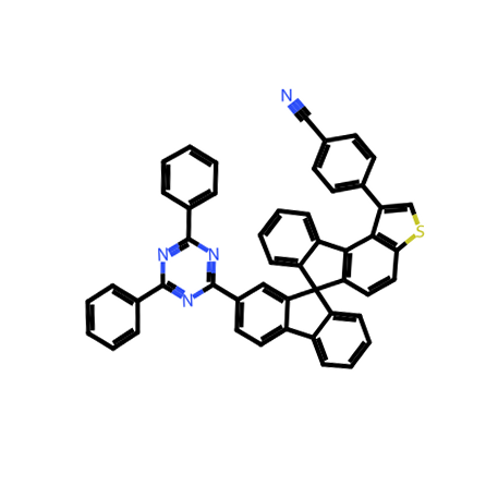 N#Cc1ccc(-c2csc3ccc4c(c23)-c2ccccc2C42c3ccccc3-c3ccc(-c4nc(-c5ccccc5)nc(-c5ccccc5)n4)cc32)cc1